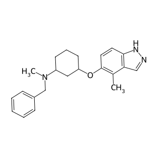 Cc1c(OC2CCCC(N(C)Cc3ccccc3)C2)ccc2[nH]ncc12